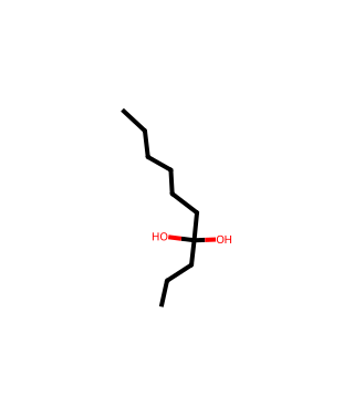 CCCCCCC(O)(O)CCC